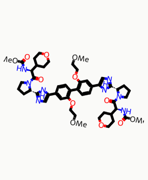 COCCOc1cc(-c2cnc([C@@H]3CCCN3C(=O)[C@@H](NC(=O)OC)C3CCOCC3)[nH]2)ccc1-c1ccc(-c2cnc([C@@H]3CCCN3C(=O)[C@@H](NC(=O)OC)C3CCOCC3)[nH]2)cc1OCCOC